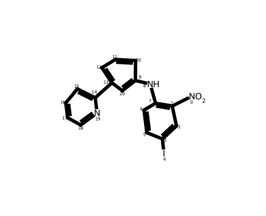 O=[N+]([O-])c1cc(I)ccc1Nc1cccc(-c2ccccn2)c1